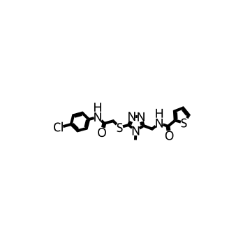 Cn1c(CNC(=O)c2cccs2)nnc1SCC(=O)Nc1ccc(Cl)cc1